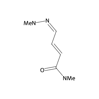 CN/N=C\C=C\C(=O)NC